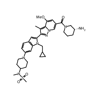 COc1cc(C(=O)N2CCC[C@@H](N)C2)cn2nc(-c3cc4ccc(N5CCC(N(C)S(C)(=O)=O)CC5)cc4n3CC3CC3)c(C)c12